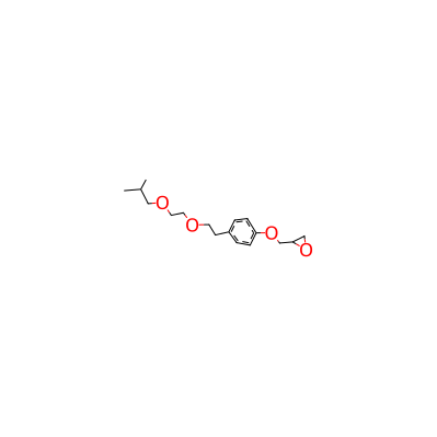 CC(C)COCCOCCc1ccc(OCC2CO2)cc1